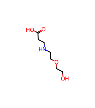 O=C(O)CCNCCOCCO